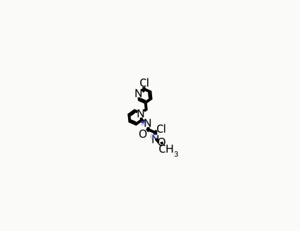 CO/N=C(\Cl)C(=O)/N=c1\ccccn1Cc1ccc(Cl)nc1